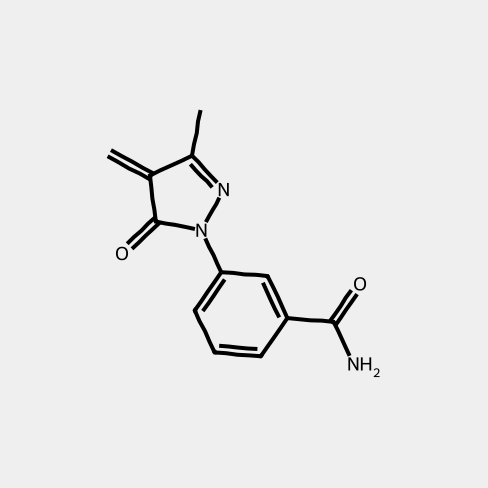 C=C1C(=O)N(c2cccc(C(N)=O)c2)N=C1C